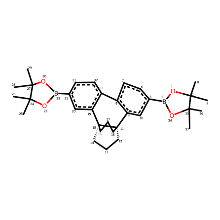 CC1(C)OB(c2ccc3c(c2)[C@]24CCC[C@]2(CCC4)c2cc(B4OC(C)(C)C(C)(C)O4)ccc2-3)OC1(C)C